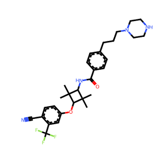 CC1(C)C(NC(=O)c2ccc(CCCN3CCNCC3)cc2)C(C)(C)C1Oc1ccc(C#N)c(C(F)(F)F)c1